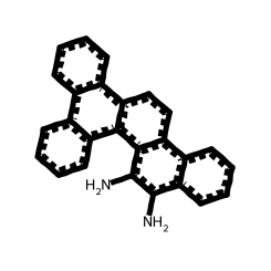 Nc1c(N)c2c(ccc3c4ccccc4c4ccccc4c32)c2ccccc12